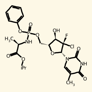 Cc1cn([C@@H]2O[C@H](COP(=O)(N[C@H](C)C(=O)OC(C)C)Oc3ccccc3)[C@@H](O)[C@]2(F)Cl)c(=O)[nH]c1=O